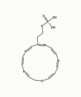 O=P(O)(O)OCCC1=NC=CN=CC=COCC=NC=CN=C1